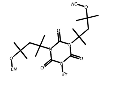 CC(C)n1c(=O)n(C(C)(C)CC(C)(C)OC#N)c(=O)n(C(C)(C)CC(C)(C)OC#N)c1=O